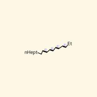 [CH2]CCCCCCC/C=C/C=C/C=C/C=C/CC